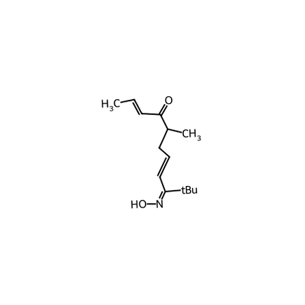 C/C=C/C(=O)C(C)C/C=C/C(=N\O)C(C)(C)C